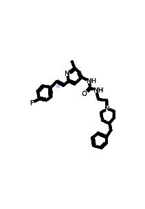 Cc1cc(NC(=O)NCCN2CCC(Cc3ccccc3)CC2)cc(/C=C/c2ccc(F)cc2)n1